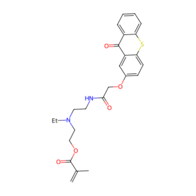 C=C(C)C(=O)OCCN(CC)CCNC(=O)COc1ccc2sc3ccccc3c(=O)c2c1